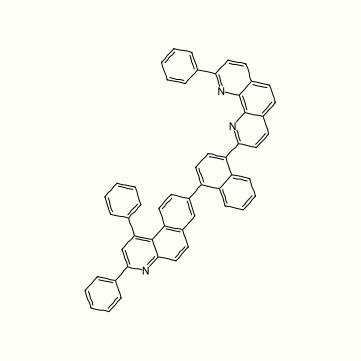 c1ccc(-c2cc(-c3ccccc3)c3c(ccc4cc(-c5ccc(-c6ccc7ccc8ccc(-c9ccccc9)nc8c7n6)c6ccccc56)ccc43)n2)cc1